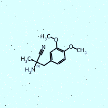 COc1ccc(C[C@](C)(N)C#N)cc1OC